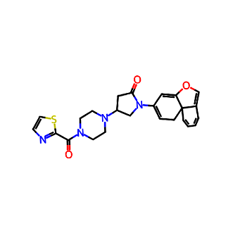 O=C(c1nccs1)N1CCN(C2CC(=O)N(C3=CCC45C=CC=CC4=COC5=C3)C2)CC1